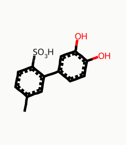 Cc1ccc(S(=O)(=O)O)c(-c2ccc(O)c(O)c2)c1